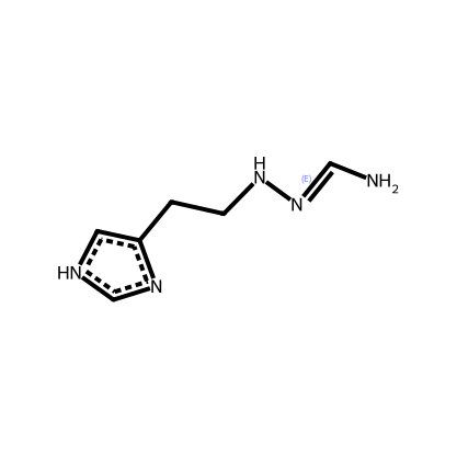 N/C=N/NCCc1c[nH]cn1